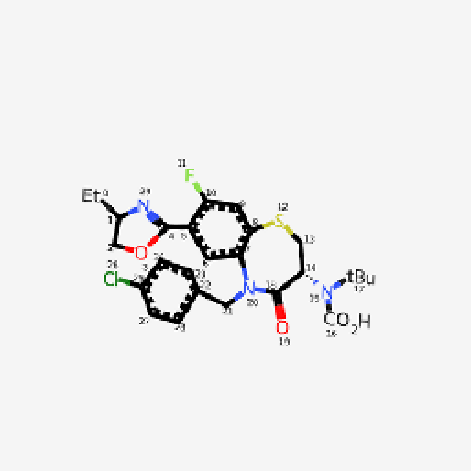 CCC1COC(c2cc3c(cc2F)SC[C@H](N(C(=O)O)C(C)(C)C)C(=O)N3Cc2ccc(Cl)cc2)=N1